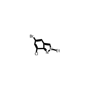 CCn1cc2cc(Br)cc(Cl)c2n1